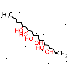 C=CCC(O)CC(O)CC(O)CC(O)CC(O)CC(O)CCCCC